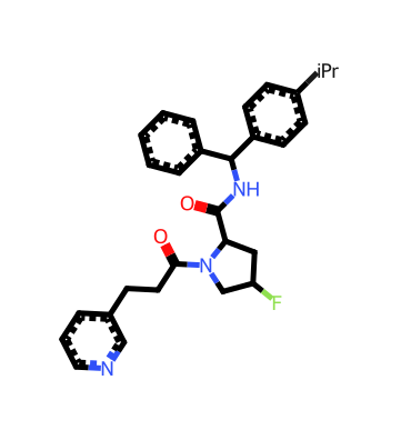 CC(C)c1ccc(C(NC(=O)C2CC(F)CN2C(=O)CCc2cccnc2)c2ccccc2)cc1